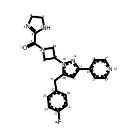 O=C(C1=NCCN1)N1CC(n2nc(-c3ccncc3)cc2Cc2ccc(F)cc2)C1